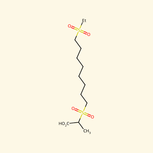 [CH2]CS(=O)(=O)CCCCCCCCS(=O)(=O)C(C)C(=O)O